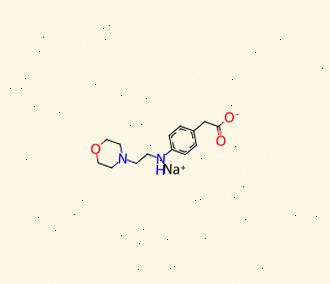 O=C([O-])Cc1ccc(NCCN2CCOCC2)cc1.[Na+]